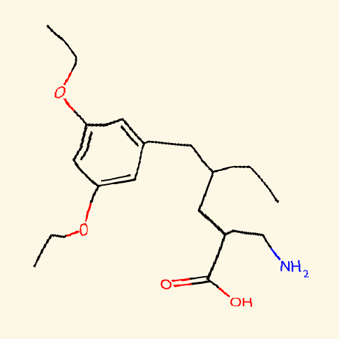 CCOc1cc(CC(CC)CC(CN)C(=O)O)cc(OCC)c1